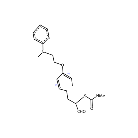 C/C=C(\C=C/CCC(C=O)SC(=O)NC)OCCN(C)c1ccccn1